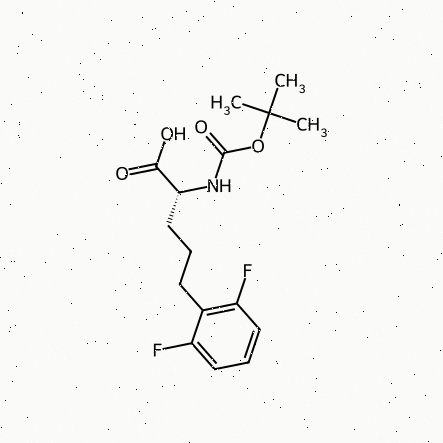 CC(C)(C)OC(=O)N[C@H](CCCc1c(F)cccc1F)C(=O)O